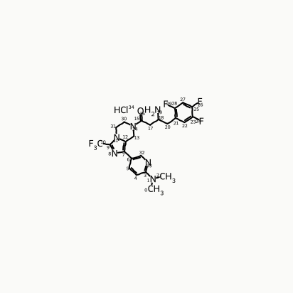 CN(C)c1ccc(-c2nc(C(F)(F)F)n3c2CN(C(=O)CC(N)Cc2cc(F)c(F)cc2F)CC3)cn1.Cl